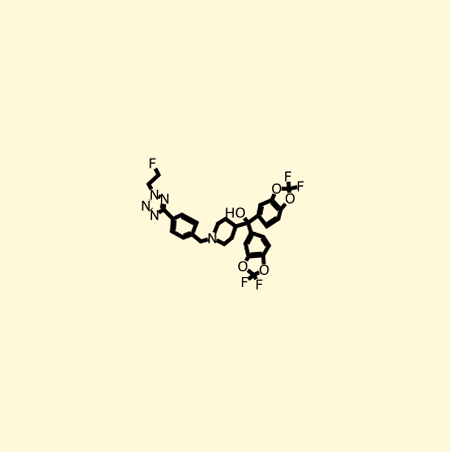 OC(c1ccc2c(c1)OC(F)(F)O2)(c1ccc2c(c1)OC(F)(F)O2)C1CCN(Cc2ccc(-c3nnn(CCF)n3)cc2)CC1